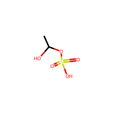 CC(O)OS(=O)(=O)O